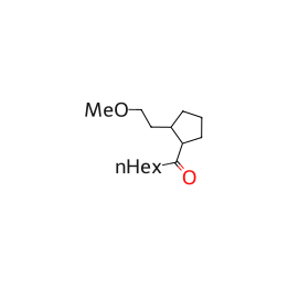 CCCCCCC(=O)C1CCCC1CCOC